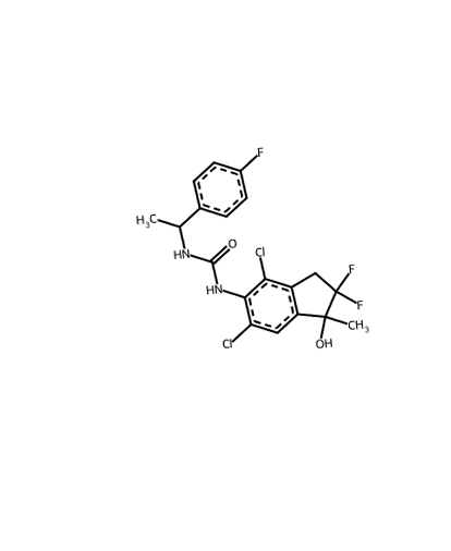 CC(NC(=O)Nc1c(Cl)cc2c(c1Cl)CC(F)(F)C2(C)O)c1ccc(F)cc1